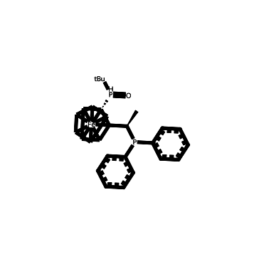 C[C@@H](P(c1ccccc1)c1ccccc1)[C]12[CH]3[CH]4[CH]5[C@]1([PH](=O)C(C)(C)C)[Fe]43521678[CH]2[CH]1[CH]6[CH]7[CH]28